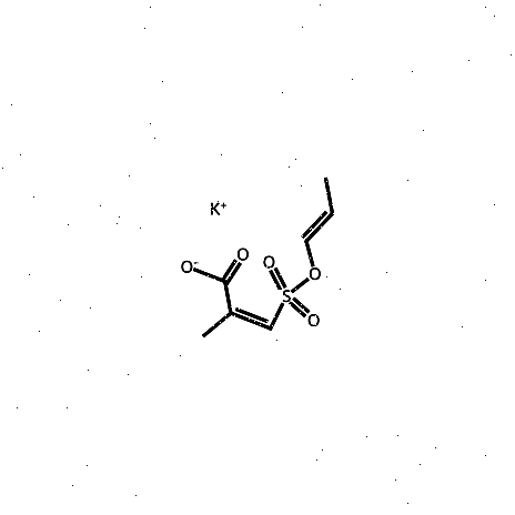 CC=COS(=O)(=O)C=C(C)C(=O)[O-].[K+]